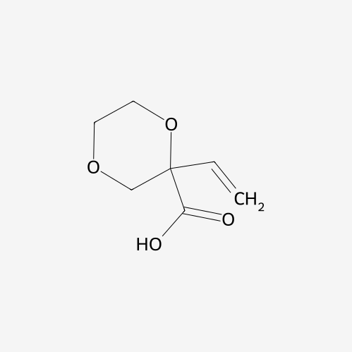 C=CC1(C(=O)O)COCCO1